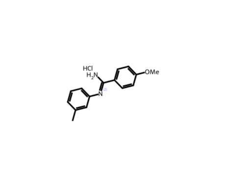 COc1ccc(/C(N)=N/c2cccc(C)c2)cc1.Cl